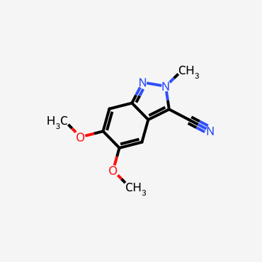 COc1cc2nn(C)c(C#N)c2cc1OC